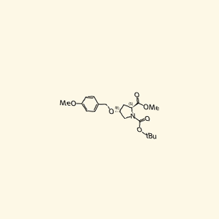 COC(=O)[C@@H]1C[C@@H](OCc2ccc(OC)cc2)CN1C(=O)OC(C)(C)C